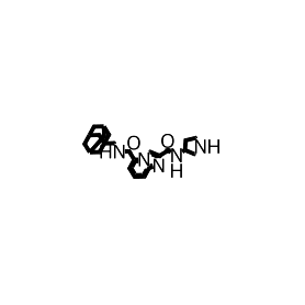 O=C(NC1CCNC1)c1cn2c(C(=O)NCC34CC5CC(CC(C5)C3)C4)cccc2n1